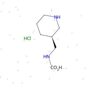 Cl.O=C(O)NC[C@H]1CCCNC1